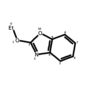 CCOc1nc2[c]cccc2o1